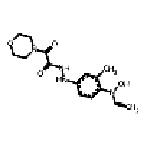 C=CN(O)c1ccc(NNC(=O)C(=O)N2CCOCC2)cc1C